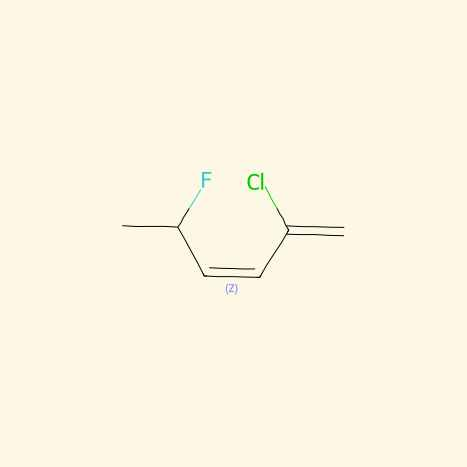 C=C(Cl)/C=C\C(C)F